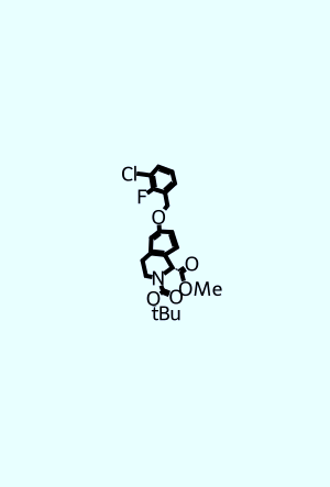 COC(=O)[C@H]1c2ccc(OCc3cccc(Cl)c3F)cc2CCN1C(=O)OC(C)(C)C